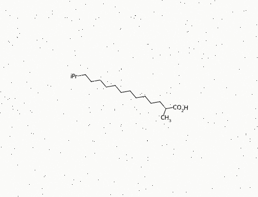 CC(C)CCCCCCCCCCCC(C)C(=O)O